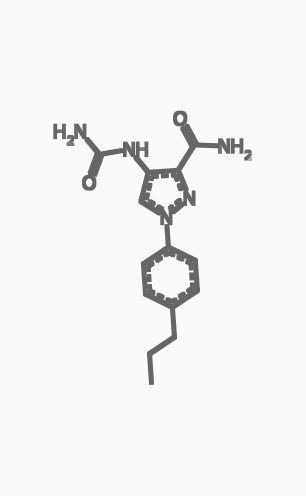 CCCc1ccc(-n2cc(NC(N)=O)c(C(N)=O)n2)cc1